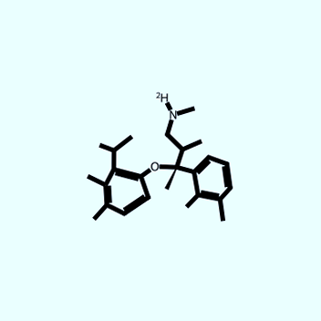 [2H]N(C)CC(C)[C@@](C)(Oc1ccc(C)c(C)c1C(C)C)c1cccc(C)c1C